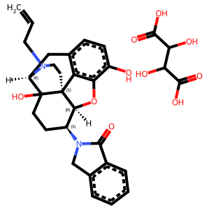 C=CCN1CC[C@]23c4c5ccc(O)c4O[C@H]2[C@@H](N2Cc4ccccc4C2=O)CCC3(O)[C@H]1C5.O=C(O)C(O)C(O)C(=O)O